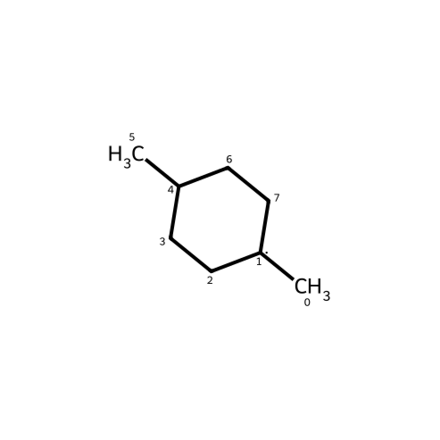 C[C]1CCC(C)CC1